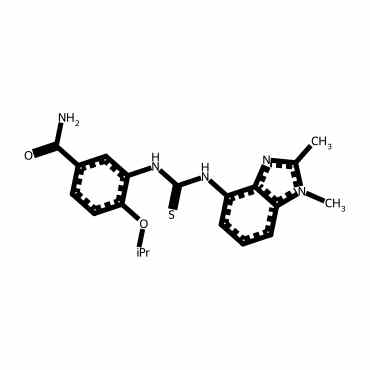 Cc1nc2c(NC(=S)Nc3cc(C(N)=O)ccc3OC(C)C)cccc2n1C